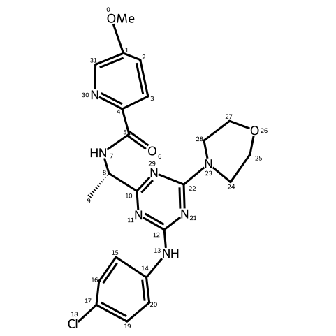 COc1ccc(C(=O)N[C@@H](C)c2nc(Nc3ccc(Cl)cc3)nc(N3CCOCC3)n2)nc1